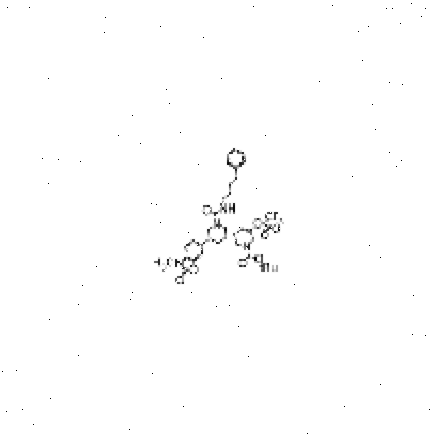 CC(C)(C)OC(=O)N1CCC=C(OS(=O)(=O)C(F)(F)F)C1.Cn1c(=O)oc2cc(C3CCCN(C(=O)NCCCCc4ccccc4)C3)ccc21